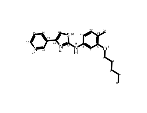 CCCCCOc1cc(Nc2nc(-c3cccnc3)cs2)ccc1C